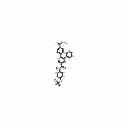 NC(=O)c1ccc(-c2ncc(C(=O)Nc3ccc(OC(F)(F)Cl)cc3)cc2-c2cccnc2)cc1